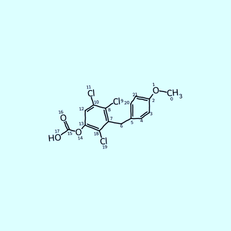 COc1ccc(Cc2c(Cl)c(Cl)cc(OC(=O)O)c2Cl)cc1